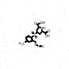 Cc1ccc(S(=O)(=O)C2CC(C(=O)O)NC(C(=O)O)C2)c(CN=[N+]=[N-])c1